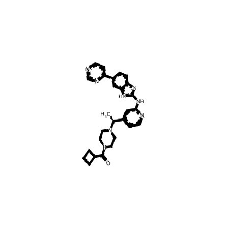 C[C@@H](c1ccnc(Nc2nc3ccc(-c4ccncn4)cc3[nH]2)c1)N1CCN(C(=O)C2CCC2)CC1